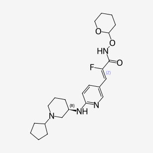 O=C(NOC1CCCCO1)/C(F)=C/c1ccc(N[C@@H]2CCCN(C3CCCC3)C2)nc1